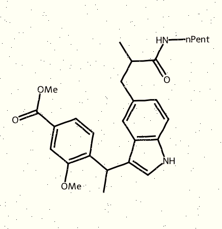 CCCCCNC(=O)C(C)Cc1ccc2[nH]cc(C(C)c3ccc(C(=O)OC)cc3OC)c2c1